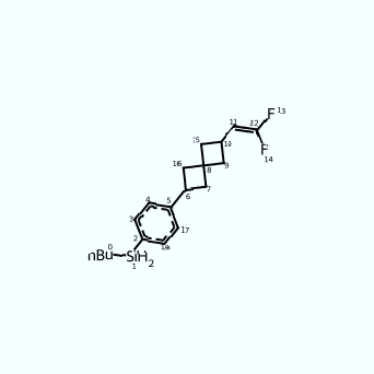 CCCC[SiH2]c1ccc(C2CC3(CC(C=C(F)F)C3)C2)cc1